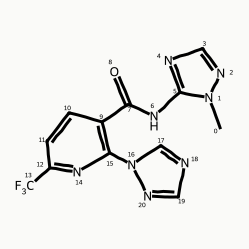 Cn1ncnc1NC(=O)c1ccc(C(F)(F)F)nc1-n1cncn1